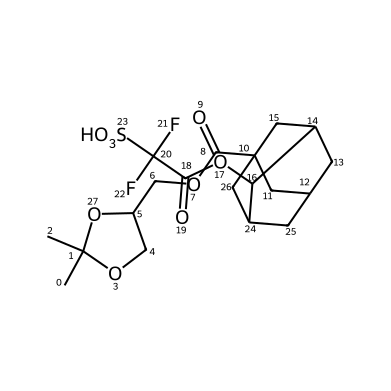 CC1(C)OCC(COC(=O)C23CC4CC(C2)C(OC(=O)C(F)(F)S(=O)(=O)O)C(C4)C3)O1